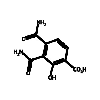 NC(=O)c1ccc(C(=O)O)c(O)c1C(N)=O